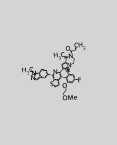 C=CC(=O)N1CCn2nc(-c3nc(-c4ccc5c(cnn5C)c4)c4sccc4c3-c3c(F)cc(F)cc3OCCOC)cc2[C@H]1C